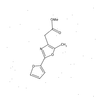 COC(=O)Cc1nc(-c2ccco2)oc1C